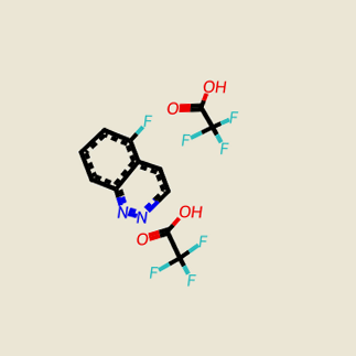 Fc1cccc2nnccc12.O=C(O)C(F)(F)F.O=C(O)C(F)(F)F